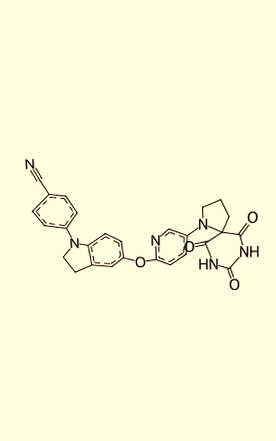 N#Cc1ccc(N2CCc3cc(Oc4ccc(N5CCCC56C(=O)NC(=O)NC6=O)cn4)ccc32)cc1